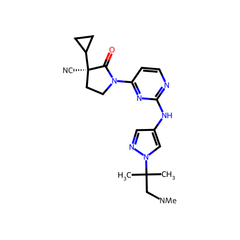 CNCC(C)(C)n1cc(Nc2nccc(N3CC[C@@](C#N)(C4CC4)C3=O)n2)cn1